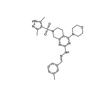 Cc1cccc(/C=N/Nc2nc3c(c(N4CCOCC4)n2)CCN(S(=O)(=O)c2c(C)n[nH]c2C)C3)c1